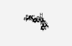 CC(C)c1ncccc1-c1ncc2c(n1)N(Cc1ccc(-c3nc(C(F)(F)F)cn3C)cc1)C(=O)NC2